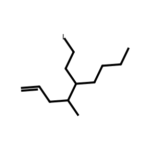 C=CCC(C)C(CCI)CCCC